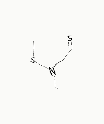 [CH2]N(C=S)SC